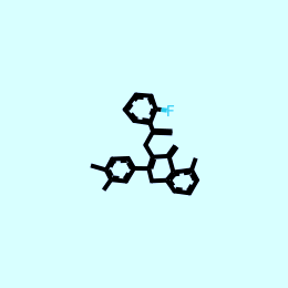 C=C(CC1=C(c2ccc(C)c(C)c2)Cc2cccc(C)c2C1=C)c1ccccc1F